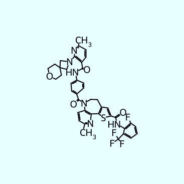 Cc1ccc2c(n1)-c1sc(C(=O)Nc3c(F)cccc3C(F)(F)F)cc1CCN2C(=O)c1ccc(NC(=O)c2ccc(C)nc2N2CC3(CCOCC3)C2)cc1